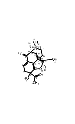 CC(=O)C1(O)CC=C2C(=O)[C@H]3N(C)CC[C@]45C2=C1O[C@H]4[C@@H](O)C=C[C@@]35O